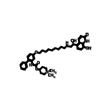 C[N+]1(C)CCC(OC(=O)Nc2cc(OCCCCCCCCCNC[C@@H](O)c3ccc(O)c4[nH]c(=O)ccc34)ccc2-c2ccccc2)CC1